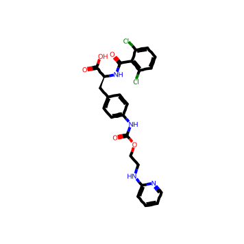 O=C(Nc1ccc(C[C@H](NC(=O)c2c(Cl)cccc2Cl)C(=O)O)cc1)OCCNc1ccccn1